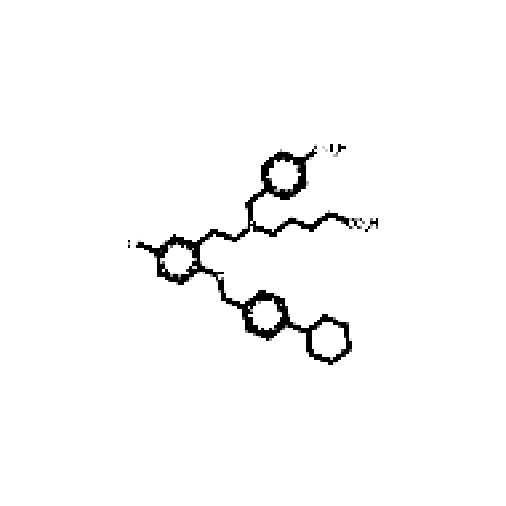 O=C(O)CCCCN(CCc1cc(Cl)ccc1OCc1ccc(C2CCCCC2)cc1)Cc1ccc(C(=O)O)cc1